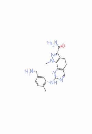 Cc1ccc(CN)cc1Nc1ncc2c(n1)-c1c(c(C(N)=O)nn1C)CC2